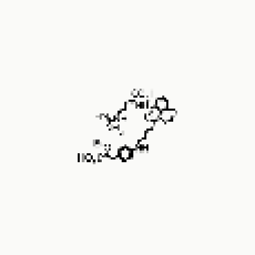 CCOC(Cc1ccc(NCCCCC(=O)N2CCOc3ccccc32)cc1)C(=O)O.N=C(N)NCCC[C@H](N)C(=O)O